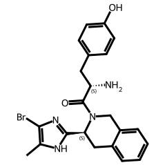 Cc1[nH]c([C@@H]2Cc3ccccc3CN2C(=O)[C@@H](N)Cc2ccc(O)cc2)nc1Br